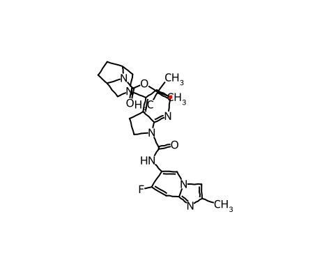 Cc1cn2cc(NC(=O)N3CCc4c(N5CC6CCC(C5)N6C(=O)OC(C)(C)C)ccnc43)c(F)cc2n1